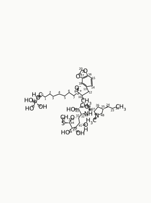 CCCCCCCC[S+]([O-])C(C)Cc1ccc2c(c1)OCO2.CCC[C@@H]1C[C@@H](C(=O)N[C@@H]([C@H]2O[C@H](SC)[C@H](O)[C@@H](O)[C@H]2O)[C@@H](C)O)N(C)C1.O=P(O)(O)O